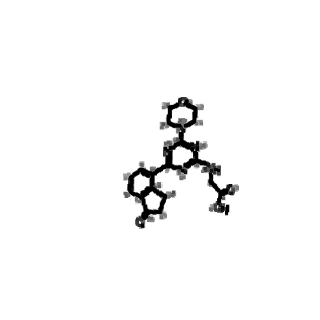 O=C(O)CNc1nc(-c2cccc3c2CCC3=O)nc(N2CCOCC2)n1